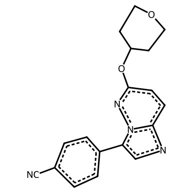 N#Cc1ccc(-c2cnc3ccc(OC4CCOCC4)nn23)cc1